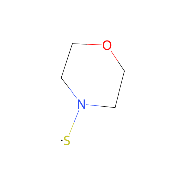 [S]N1CCOCC1